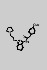 COc1ccc(CC(=O)Nc2nn(OCCN3CCCC3)c3ccccc23)cc1